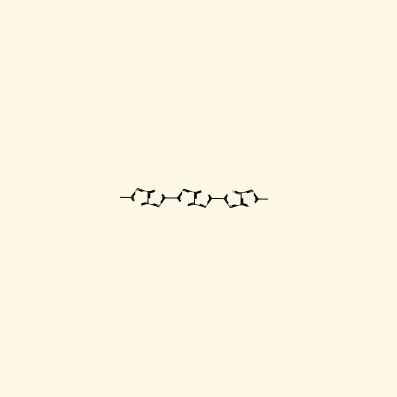 CCc1cc2sc(-c3cc4sc(-c5cc6sc(C)cc6s5)cc4s3)cc2s1